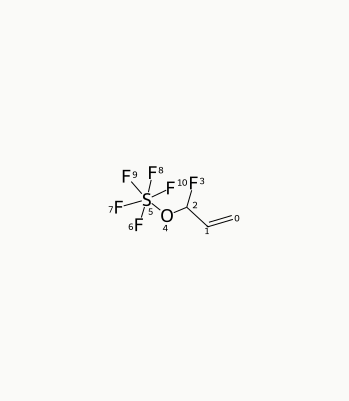 C=CC(F)OS(F)(F)(F)(F)F